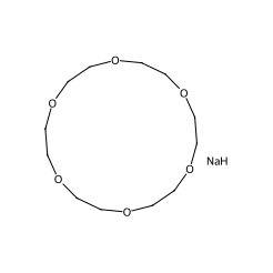 C1COCCOCCOCCOCCOCCO1.[NaH]